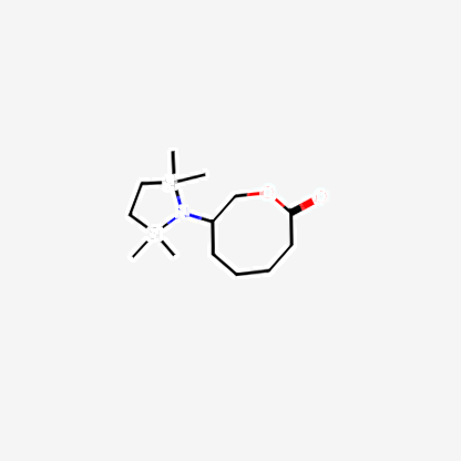 C[Si]1(C)CC[Si](C)(C)N1C1CCCCC(=O)OC1